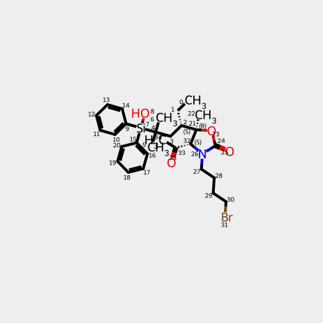 CC[C@@H](CC(C)(C)[Si](O)(c1ccccc1)c1ccccc1)[C@@]1(C)OC(=O)N(CCCCBr)[C@@H]1C(C)=O